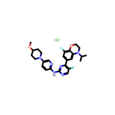 COC1CCN(c2ccc(Nc3ncc(F)c(-c4cc(F)c5c(c4)N(C(C)C)CCO5)n3)nc2)CC1.Cl